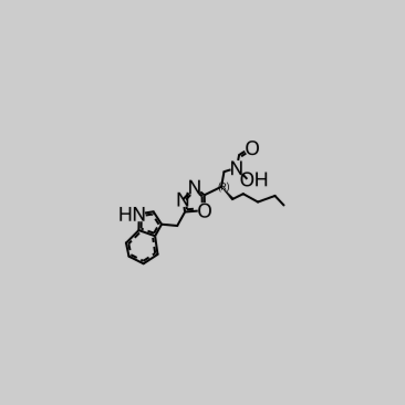 CCCCC[C@H](CN(O)C=O)c1nnc(Cc2c[nH]c3ccccc23)o1